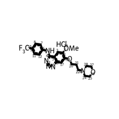 COc1cc2c(Nc3ccc(C(F)(F)F)cc3)nnnc2cc1OCCCN1CCOCC1.Cl